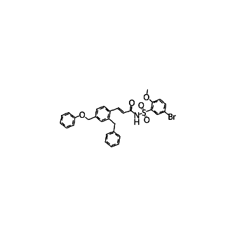 COc1ccc(Br)cc1S(=O)(=O)NC(=O)/C=C/c1ccc(COc2ccccc2)cc1Cc1ccccc1